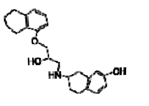 Oc1ccc2c(c1)CC(NCC(O)COc1cccc3c1CCCC3)CC2